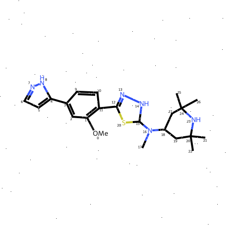 COc1cc(-c2ccn[nH]2)ccc1C1=NNC(N(C)C2CC(C)(C)NC(C)(C)C2)S1